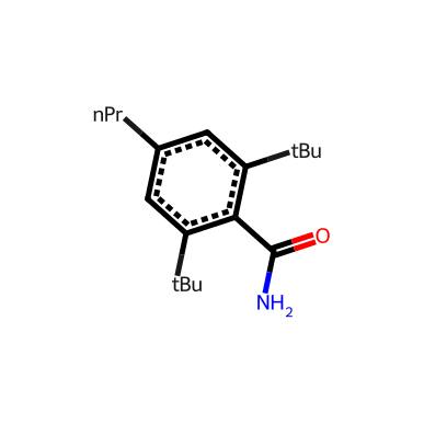 CCCc1cc(C(C)(C)C)c(C(N)=O)c(C(C)(C)C)c1